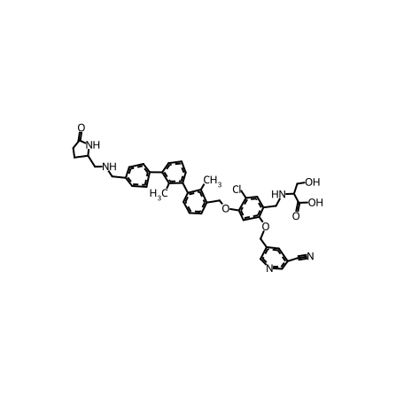 Cc1c(COc2cc(OCc3cncc(C#N)c3)c(CNC(CO)C(=O)O)cc2Cl)cccc1-c1cccc(-c2ccc(CNCC3CCC(=O)N3)cc2)c1C